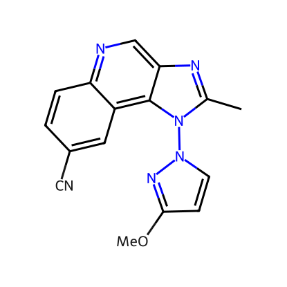 COc1ccn(-n2c(C)nc3cnc4ccc(C#N)cc4c32)n1